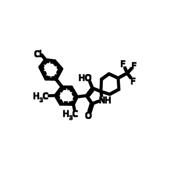 Cc1cc(C)c(-c2ccc(Cl)cc2)cc1C1=C(O)C2(CCC(C(F)(F)F)CC2)NC1=O